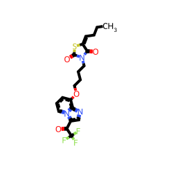 CCC/C=C1/SC(=O)N(CCCCOc2cccn3c(C(=O)C(F)(F)F)cnc23)C1=O